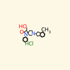 Cc1cccc2c1CC(N1CCC3(CC1)C(CO)C(=O)N3c1ccccc1)C2.Cl